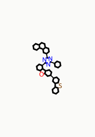 c1ccc(-c2nc(-c3ccc4ccc5ccccc5c4c3)nc(-c3cccc4oc5cc(-c6ccc7sc8ccccc8c7c6)ccc5c34)n2)cc1